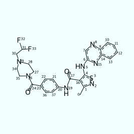 Cc1nsc(Nc2cnc3ccccc3n2)c1C(=O)Nc1ccc(C(=O)N2CCN(CC(F)F)CC2)cc1